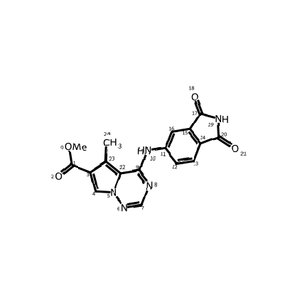 COC(=O)c1cn2ncnc(Nc3ccc4c(c3)C(=O)NC4=O)c2c1C